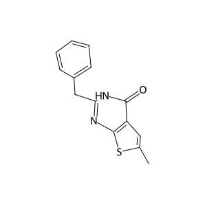 Cc1cc2c(=O)[nH]c(Cc3ccccc3)nc2s1